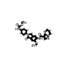 CC(C)Oc1cc2c(cc1NC(=O)c1cnn3cccnc13)CN(C1CCC(NC(=O)OC(C)(C)C)CC1)C2=O